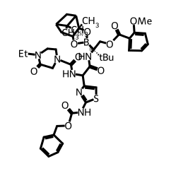 CCN1CCN(C(=O)NC(C(=O)N[C@](COC(=O)c2ccccc2OC)(B2OC3CC4CC(C4(C)C)[C@]3(C)O2)C(C)(C)C)c2csc(NC(=O)OCc3ccccc3)n2)CC1=O